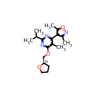 Cc1noc(C)c1-c1nc(C(C)C)nc(OC[C@H]2CCCO2)c1C